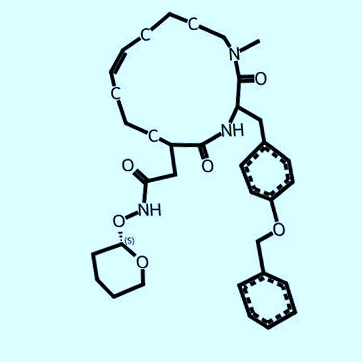 CN1CCCCC=CCCCC(CC(=O)NO[C@H]2CCCCO2)C(=O)NC(Cc2ccc(OCc3ccccc3)cc2)C1=O